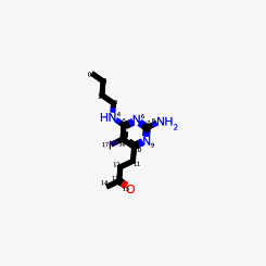 CCCCNc1nc(N)nc(CCC(C)=O)c1I